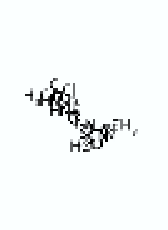 Cc1[nH]c(C(=O)N[C@@H]2CCN(c3nc(-c4cn(C)nn4)c(C(=O)O)s3)C[C@@H]2F)c(Cl)c1Cl